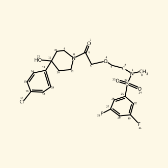 CN(CCOCC(=O)N1CCC(O)(c2ccc(Cl)cc2)CC1)S(=O)(=O)c1cc(F)cc(F)c1